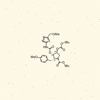 COCc1nnc(NC(=O)O[C@@H]2[C@@H](OC(=O)OC(C)(C)C)CN(C(=O)OC(C)(C)C)[C@@H]2Cc2ccc(OC)cc2)s1